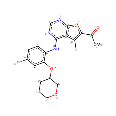 COC(=O)c1sc2ncnc(Nc3ccc(F)cc3OC3CCCOC3)c2c1C